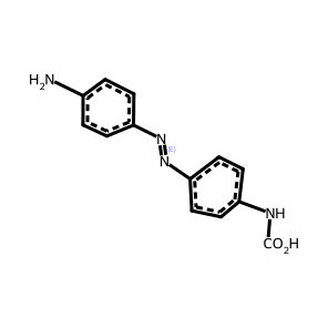 Nc1ccc(/N=N/c2ccc(NC(=O)O)cc2)cc1